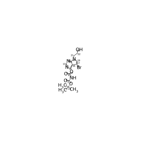 CC(C)(C)OC(=O)NC(=O)Oc1ncnc2c1c(Br)cn2CCO